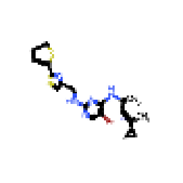 C=C(/C=C(\C)C1CC1)Nc1nc(NCc2csc(C3=CCCS3)n2)ncc1Br